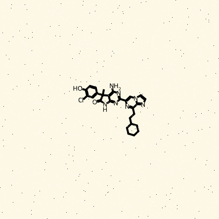 CC1(c2ccc(O)c(Cl)c2)C(=O)Nc2nc(-c3cn4ccnc4c(CCC4CCCCC4)n3)nc(N)c21